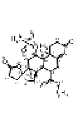 COC(=O)[C@@H]1CC2=CC(=O)CCC2(C)C2C1C1CC[C@@]3(CCC(=O)O3)C1(C)C[C@H]2OS(C)(=O)=O